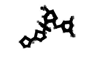 O=[N+]([O-])c1ccc(Oc2cc(Cl)cc(Cl)c2)c(S(=O)(=O)N2CCC(N3CCCC3)C2)c1